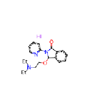 CCN(CC)CCOC1c2ccccc2C(=O)N1c1ccccn1.I